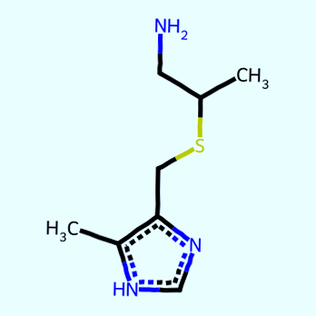 Cc1[nH]cnc1CSC(C)CN